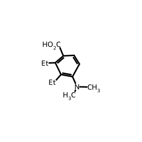 CCc1c(C(=O)O)ccc(N(C)C)c1CC